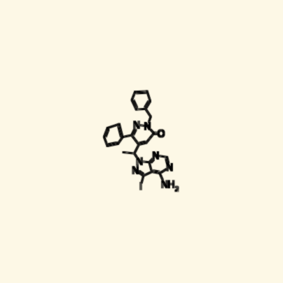 CC(c1cc(=O)n(Cc2ccccc2)nc1-c1ccccc1)n1nc(I)c2c(N)ncnc21